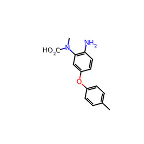 Cc1ccc(Oc2ccc(N)c(N(C)C(=O)O)c2)cc1